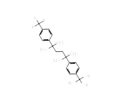 CC(C)(C)c1ccc(C(C)(C)CCC(C)(C)c2ccc(C(F)(F)F)cc2)cc1